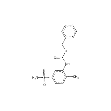 Cc1ccc(S(N)(=O)=O)cc1NC(=O)OCc1ccccc1